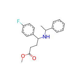 COC(=O)CCC(NC(C)c1ccccc1)c1ccc(F)cc1